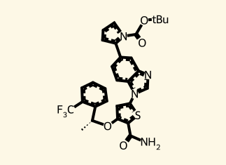 C[C@@H](Oc1cc(-n2cnc3cc(-c4cccn4C(=O)OC(C)(C)C)ccc32)sc1C(N)=O)c1ccccc1C(F)(F)F